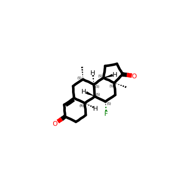 C[C@H]1CC2=CC(=O)CC[C@@H]2[C@@H]2[C@@H]1[C@@H]1CCC(=O)[C@@]1(C)C[C@@H]2F